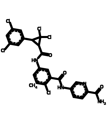 C.NC(=O)c1ccc(NC(=O)c2cc(NC(=O)C3C(c4cc(Cl)cc(Cl)c4)C3(Cl)Cl)ccc2Cl)cn1